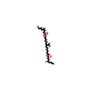 CCCCC(C)CCC(=O)OCCCCCCC(CCCCCCOC(=O)CCC(C)CCCC)C(C)C